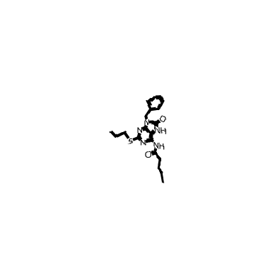 CCCCC(=O)Nc1nc(SCCC)nc2c1[nH]c(=O)n2Cc1ccccc1